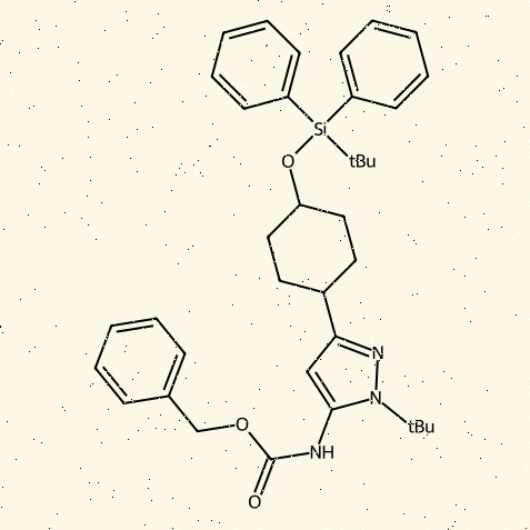 CC(C)(C)n1nc(C2CCC(O[Si](c3ccccc3)(c3ccccc3)C(C)(C)C)CC2)cc1NC(=O)OCc1ccccc1